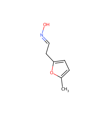 Cc1ccc(CC=NO)o1